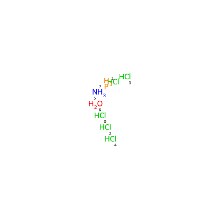 Cl.Cl.Cl.Cl.Cl.N.O.P